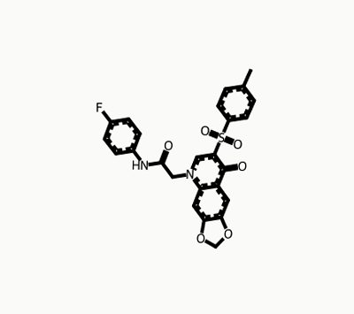 Cc1ccc(S(=O)(=O)c2cn(CC(=O)Nc3ccc(F)cc3)c3cc4c(cc3c2=O)OCO4)cc1